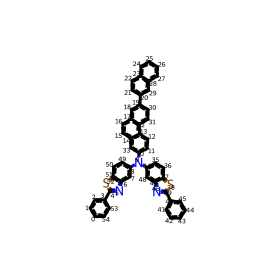 c1ccc(-c2nc3cc(N(c4ccc5c(ccc6cc(-c7ccc8ccccc8c7)ccc65)c4)c4ccc5sc(-c6ccccc6)nc5c4)ccc3s2)cc1